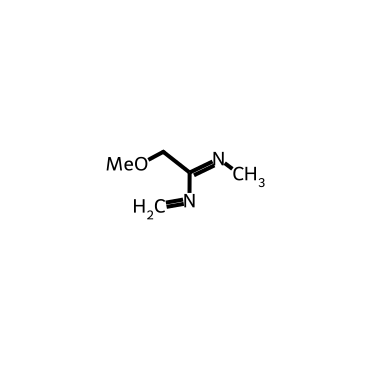 C=N/C(COC)=N\C